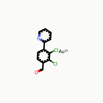 O=Cc1ccc(-c2ccccn2)c(Cl)c1Cl.[Au+3]